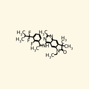 CCN1C(=O)C(C)(C)c2cc3nc(C)nc(N[C@H](C)c4cccc(C(F)(F)C(C)C)c4F)c3cc21